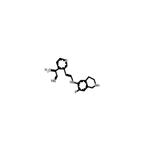 C=C(C=N)c1ccncc1/C=C/Nc1cc2c(cc1F)CNCC2